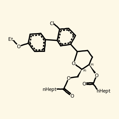 CCCCCCCC(=O)OC[C@H]1OC(c2ccc(Cl)c(-c3ccc(OCC)cc3)c2)CC[C@H]1OC(=O)CCCCCCC